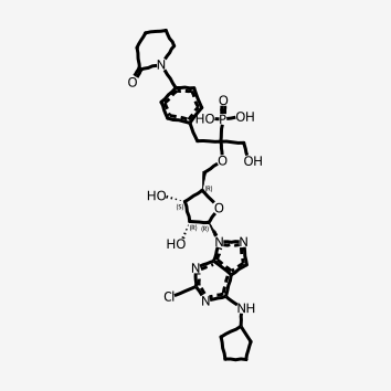 O=C1CCCCN1c1ccc(CC(CO)(OC[C@H]2O[C@@H](n3ncc4c(NC5CCCC5)nc(Cl)nc43)[C@H](O)[C@@H]2O)P(=O)(O)O)cc1